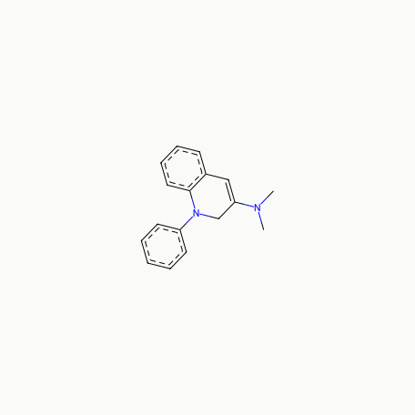 CN(C)C1=Cc2ccccc2N(c2ccccc2)C1